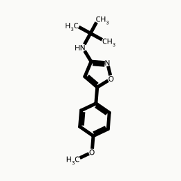 COc1ccc(-c2cc(NC(C)(C)C)no2)cc1